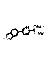 COC(OC)c1ccc(-c2ccc3c(c2)CNC3)cn1